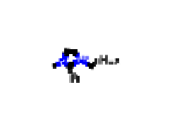 CCCCCCC[n+]1ccn(C)c1C(C)C